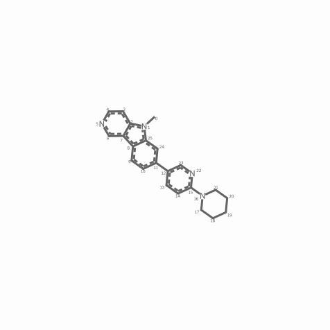 Cn1c2ccncc2c2ccc(-c3ccc(N4CCCCC4)nc3)cc21